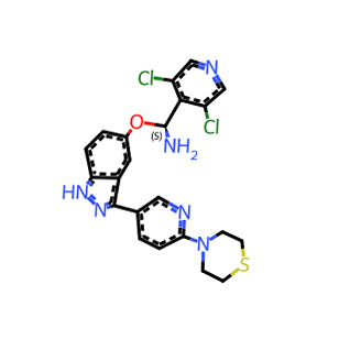 N[C@@H](Oc1ccc2[nH]nc(-c3ccc(N4CCSCC4)nc3)c2c1)c1c(Cl)cncc1Cl